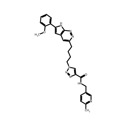 COc1ccccc1-c1cc2cc(CCCCn3cc(C(=O)NCc4ccc(C)nc4)nn3)nnc2[nH]1